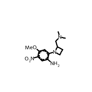 COc1cc(N2CCC2CN(C)C)c(N)cc1[N+](=O)[O-]